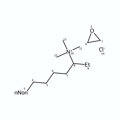 C1CO1.CCCCCCCCCCCCCC(CC)[N+](C)(C)C.[Cl-]